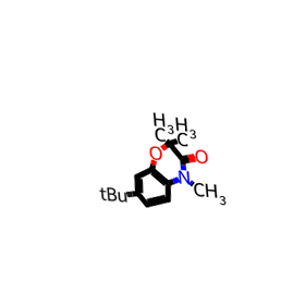 CN1C(=O)C(C)(C)Oc2cc(C(C)(C)C)ccc21